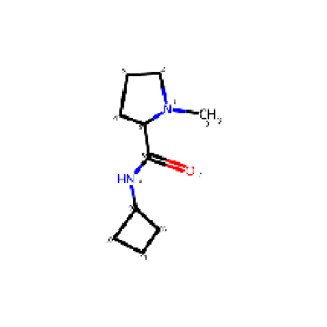 CN1CCCC1C(=O)NC1CCC1